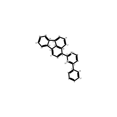 c1ccc(-c2ccnc(-c3ccc4c5c(cccc35)-c3ccccc3-4)n2)cc1